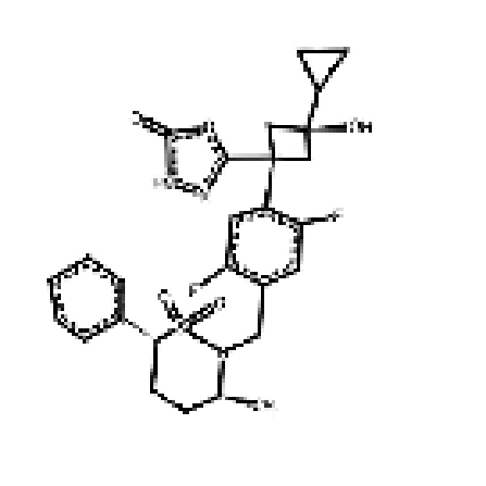 C[C@H]1CC[C@H](c2ccccc2)S(=O)(=O)N1Cc1cc(F)c([C@]2(c3n[nH]c(=O)o3)C[C@@](O)(C3CC3)C2)cc1F